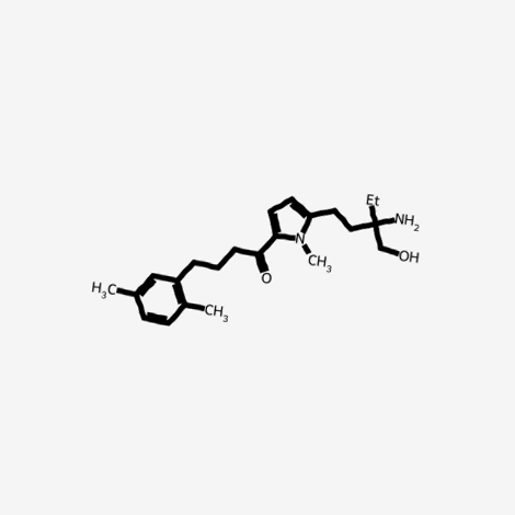 CCC(N)(CO)CCc1ccc(C(=O)CCCc2cc(C)ccc2C)n1C